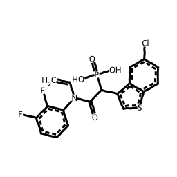 C=CN(C(=O)C(c1csc2ccc(Cl)cc12)P(=O)(O)O)c1cccc(F)c1F